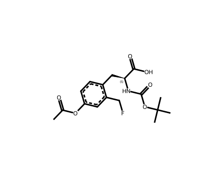 CC(=O)Oc1ccc(C[C@H](NC(=O)OC(C)(C)C)C(=O)O)c(CF)c1